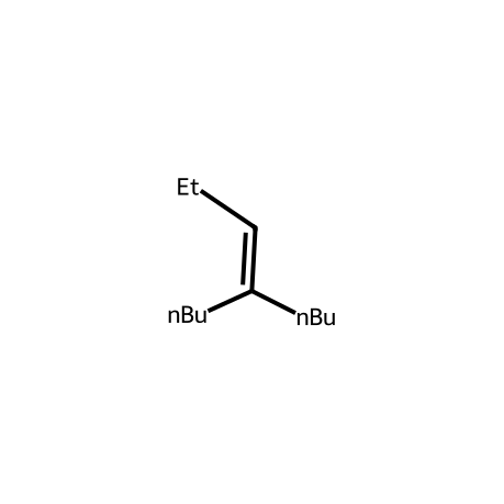 CCC=C(CCCC)CCCC